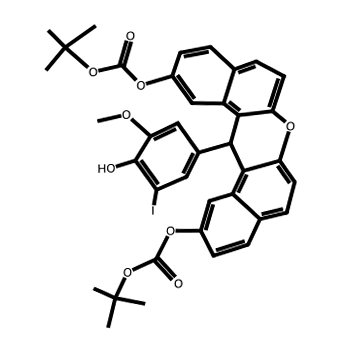 COc1cc(C2c3c(ccc4ccc(OC(=O)OC(C)(C)C)cc34)Oc3ccc4ccc(OC(=O)OC(C)(C)C)cc4c32)cc(I)c1O